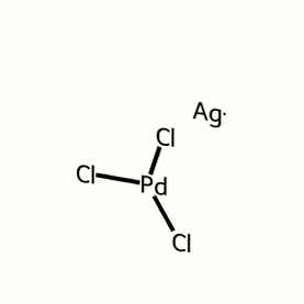 [Ag].[Cl][Pd]([Cl])[Cl]